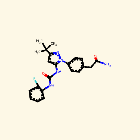 CC(C)(C)c1cc(NC(=O)Nc2ccccc2F)n(-c2ccc(CC(N)=O)cc2)n1